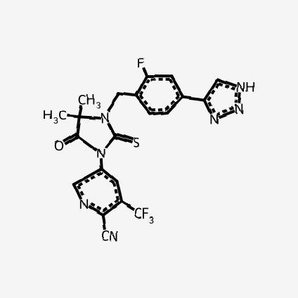 CC1(C)C(=O)N(c2cnc(C#N)c(C(F)(F)F)c2)C(=S)N1Cc1ccc(-c2c[nH]nn2)cc1F